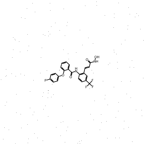 O=C(C=Cc1cc(C(F)(F)F)ccc1NC(=O)c1ccccc1Oc1ccc(F)cc1)NO